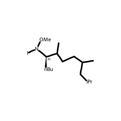 CCCC[C@H](C(C)CCC(C)CC(C)C)N(I)OC